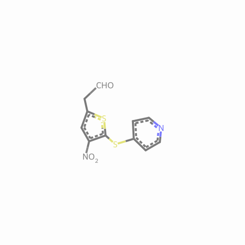 O=CCc1cc([N+](=O)[O-])c(Sc2ccncc2)s1